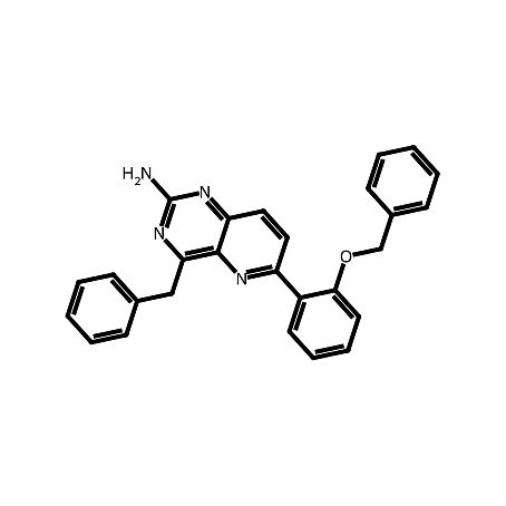 Nc1nc(Cc2ccccc2)c2nc(-c3ccccc3OCc3ccccc3)ccc2n1